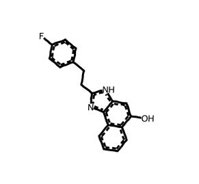 Oc1cc2[nH]c(CCc3ccc(F)cc3)nc2c2ccccc12